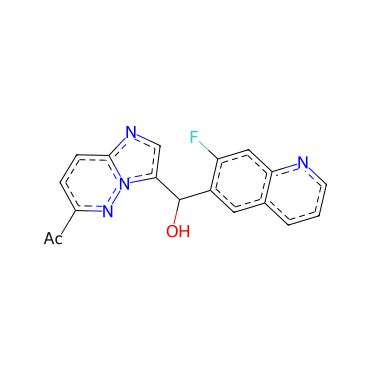 CC(=O)c1ccc2ncc(C(O)c3cc4cccnc4cc3F)n2n1